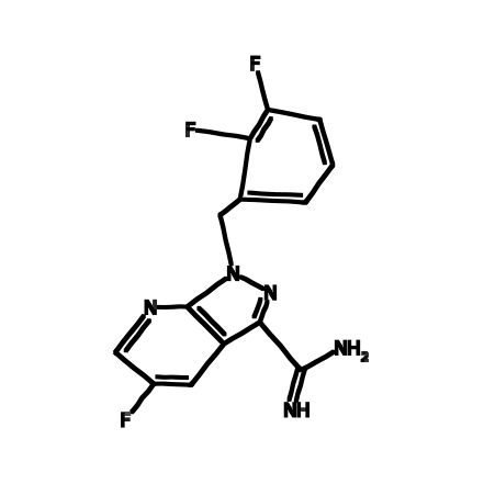 N=C(N)c1nn(Cc2cccc(F)c2F)c2ncc(F)cc12